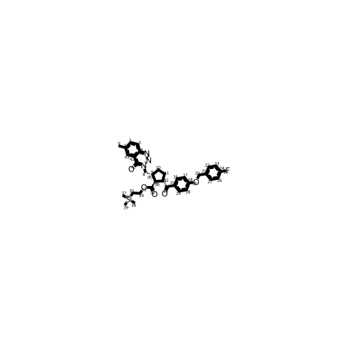 Cc1ccc2nnn(C[C@@H]3CC[C@H](C(=O)c4ccc(OCc5ccc(F)cc5)cc4)[C@H]3C(=O)OCC[Si](C)(C)C)c(=O)c2c1